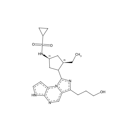 CC[C@@H]1C[C@H](NS(=O)(=O)C2CC2)CC1c1nc(CCCO)c2cnc3[nH]ccc3n12